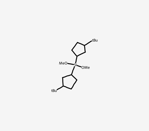 CO[Si](OC)(C1CCC(C(C)(C)C)C1)C1CCC(C(C)(C)C)C1